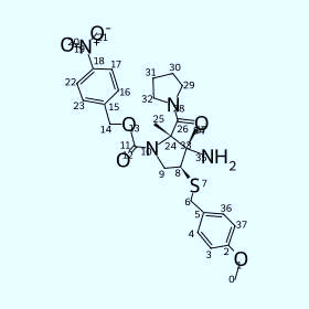 COc1ccc(CS[C@H]2CN(C(=O)OCc3ccc([N+](=O)[O-])cc3)[C@](C)(C(=O)N3CCCC3)[C@]2(C)N)cc1